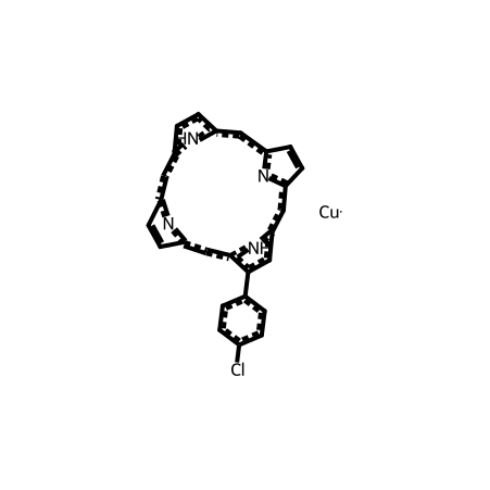 Clc1ccc(-c2cc3cc4nc(cc5ccc(cc6nc(cc2[nH]3)C=C6)[nH]5)C=C4)cc1.[Cu]